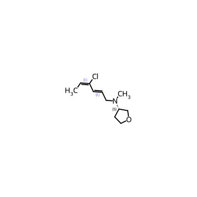 C/C=C(Cl)\C=C\CN(C)[C@H]1CCOC1